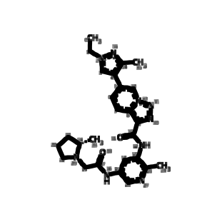 CCn1cc(-c2ccc3c(C(=O)Nc4cc(NC(=O)CN5CCC[C@@H]5C)cnc4C)nnn3c2)c(C)n1